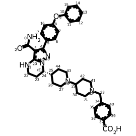 NC(=O)c1c(-c2ccc(Oc3ccccc3)cc2)nn2c1NCC[C@H]2C1CCN(C2CCN(Cc3ccc(C(=O)O)cc3)CC2)CC1